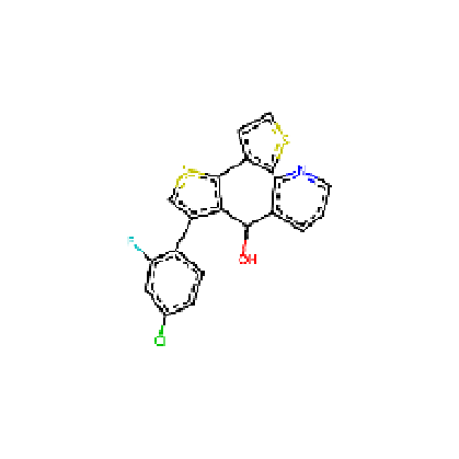 OC(c1cccnc1)c1c(-c2ccc(Cl)cc2F)csc1-c1ccsc1